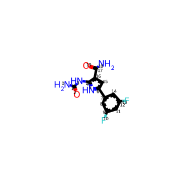 NC(=O)Nc1[nH]c(-c2cc(F)cc(F)c2)cc1C(N)=O